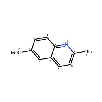 COc1ccc2nc(C(C)(C)C)ccc2c1